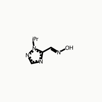 CC(C)n1ncnc1/C=N/O